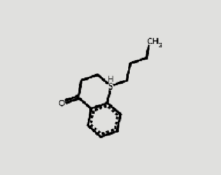 CCCC[SH]1CCC(=O)c2ccccc21